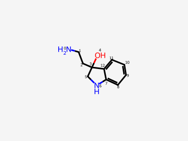 NCCC1(O)CNc2ccccc21